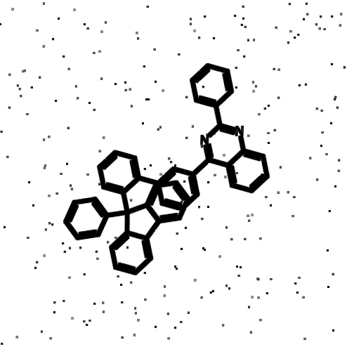 c1ccc(-c2nc(-c3cccc(-c4ccccc4C4(c5ccccc5)c5ccccc5-c5ccccc54)c3)c3ccccc3n2)cc1